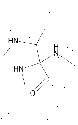 CNC(C)C(C=O)(NC)NC